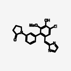 COc1c(O)c(Cl)cc(C=C2N=CC=N2)c1-c1cccc(N2CCCC2=O)c1